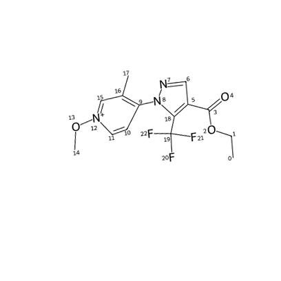 CCOC(=O)c1cnn(-c2cc[n+](OC)cc2C)c1C(F)(F)F